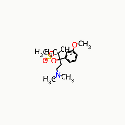 COc1cccc([C@](CCN(C)C)(OS(C)(=O)=O)C(C)C)c1